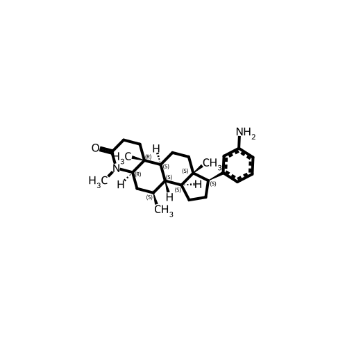 C[C@H]1C[C@H]2N(C)C(=O)CC[C@]2(C)[C@H]2CC[C@]3(C)[C@@H](c4cccc(N)c4)CC[C@H]3[C@H]12